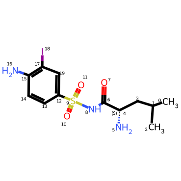 CC(C)C[C@H](N)C(=O)NS(=O)(=O)c1ccc(N)c(I)c1